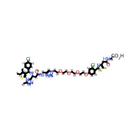 Cc1sc2c(c1C)C(c1ccc(Cl)cc1)=NC(CC(=O)NCc1cn(CCOCCOCCOCCOc3ccc(-c4nc(CC(=O)NCC(=O)O)cs4)c(Cl)c3)nn1)c1nnc(C)n1-2